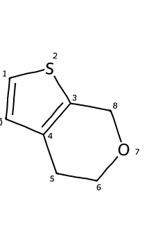 [c]1csc2c1CCOC2